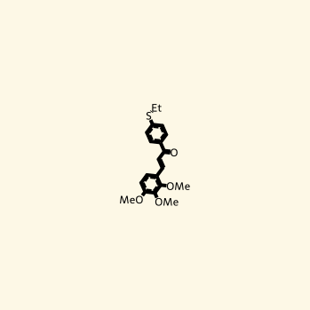 CCSc1ccc(C(=O)/C=C/c2ccc(OC)c(OC)c2OC)cc1